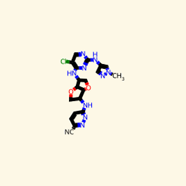 Cn1cc(Nc2ncc(Cl)c(NC3COC4C(Nc5ccc(C#N)nn5)COC34)n2)cn1